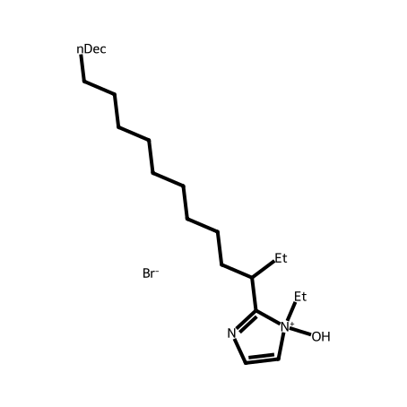 CCCCCCCCCCCCCCCCCCCC(CC)C1=NC=C[N+]1(O)CC.[Br-]